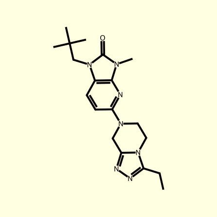 CCc1nnc2n1CCN(c1ccc3c(n1)n(C)c(=O)n3CC(C)(C)C)C2